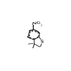 CC1(C)C[N]c2cc([N+](=O)[O-])ccc21